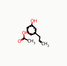 C=CCc1cccc(O)c1.CC(=O)O